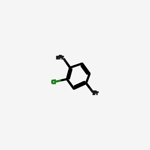 CCCc1ccc(C(C)C)cc1Cl